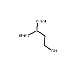 CCCCCN(CCO)CCCCC